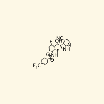 N#Cc1ccnc2[nH]cc(C(O)c3c(F)ccc(NS(=O)(=O)c4ccc(C(F)(F)F)cc4)c3F)c12